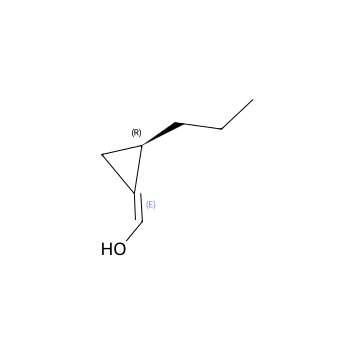 CCC[C@@H]1C/C1=C\O